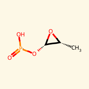 C[C@H]1O[C@H]1O[P](=O)O